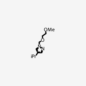 COCCOCn1cc(C(C)C)cn1